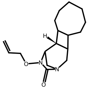 C=CCON1C(=O)N2CC3C4CCCCCCC4[C@H]3C1C2